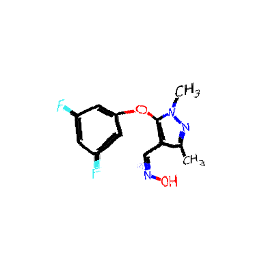 Cc1nn(C)c(Oc2cc(F)cc(F)c2)c1/C=N\O